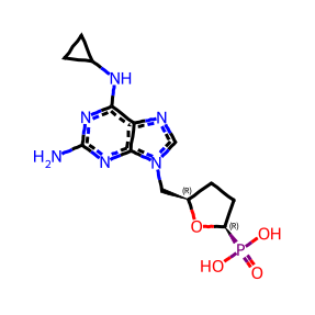 Nc1nc(NC2CC2)c2ncn(C[C@H]3CC[C@@H](P(=O)(O)O)O3)c2n1